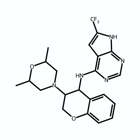 CC1CN(C2COc3ccccc3C2Nc2ncnc3[nH]c(C(F)(F)F)cc23)CC(C)O1